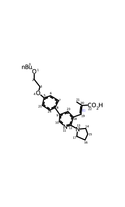 CCCCOCCOc1ccc(-c2cnc(N3CCCC3)c(/C=C(\C)C(=O)O)c2)cc1